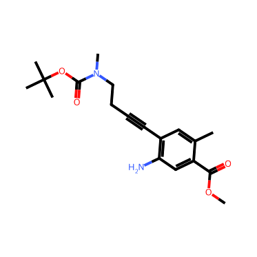 COC(=O)c1cc(N)c(C#CCCN(C)C(=O)OC(C)(C)C)cc1C